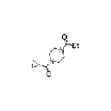 CCC(=O)N1CCN(C(=O)C2CC2)CC1